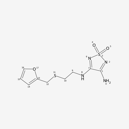 NC1=NS(=O)(=O)N=C1NCCSCc1ccco1